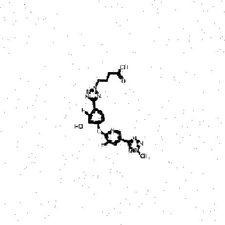 Cl.Cn1nnc(-c2cnc(Oc3ccc(-c4nnn(CCCC(=O)O)n4)c(F)c3)c(F)c2)n1